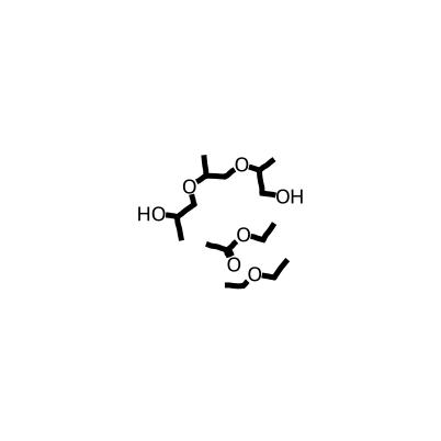 CC(O)COC(C)COC(C)CO.CCOC(C)=O.CCOCC